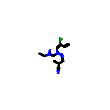 C=C/C(Br)=C\N(CNCC)/N=C\C(C)C#N